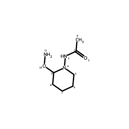 CC(=O)NN1CCCCC1ON